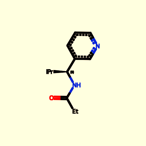 CCC(=O)N[C@H](c1cccnc1)C(C)C